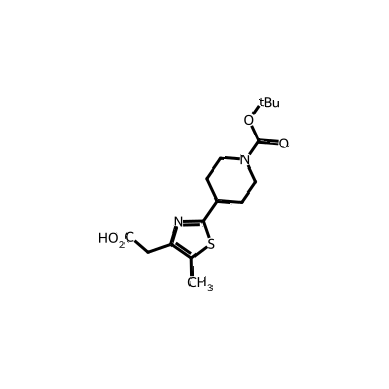 Cc1sc(C2CCN(C(=O)OC(C)(C)C)CC2)nc1CC(=O)O